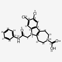 O=C(Cn1c2c(c3cc(Cl)c(Cl)cc31)CCN(C(=O)O)CC2)Nc1ccccc1